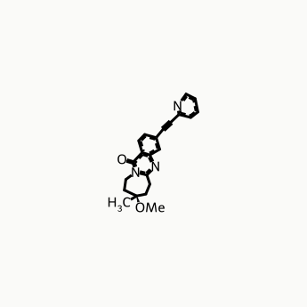 CO[C@]1(C)CCc2nc3cc(C#Cc4ccccn4)ccc3c(=O)n2CC1